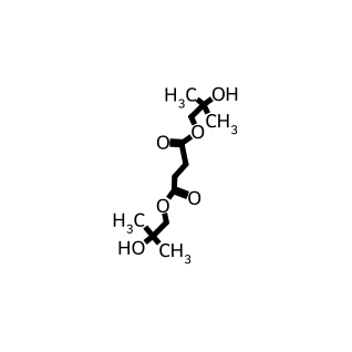 CC(C)(O)COC(=O)CCC(=O)OCC(C)(C)O